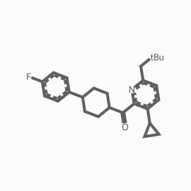 CC(C)(C)[CH]c1ccc(C2CC2)c(C(=O)C2CCC(c3ccc(F)cc3)CC2)n1